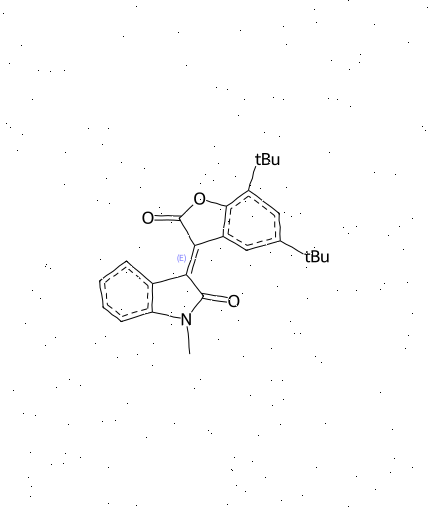 CN1C(=O)/C(=C2/C(=O)Oc3c2cc(C(C)(C)C)cc3C(C)(C)C)c2ccccc21